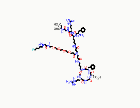 N=C(N)NCCC[C@@H]1NCO[C@H](CCCCNC(=O)CCN(CCC(=O)NCCCC[C@H](NC(=O)[C@H](N)Cc2ccccc2)C(=O)N[C@@H](CCCNC(=N)N)C(=O)NCC(=O)N[C@H](C=O)CC(=O)O)C(=O)CCOCCOCCOCCOCCNC(=O)Cn2cc(CCCF)nn2)NC(=O)[C@@H](Cc2ccccc2)NC(=O)[C@H](CC(=O)O)NC(=O)CNC1=O